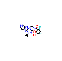 O=C(c1c(O)cc(F)cc1F)N1CCN(c2nc3cnccc3nc2NC2CC2)CC1